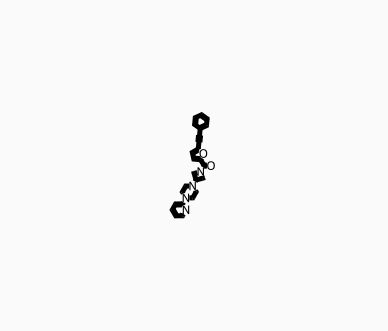 O=C(c1ccc(C#Cc2ccccc2)o1)N1CC(N2CCN(c3ccccn3)CC2)C1